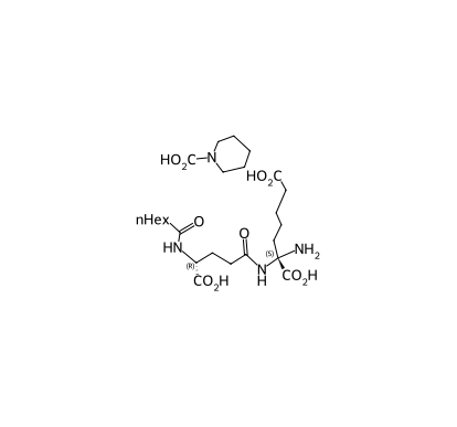 CCCCCCC(=O)N[C@H](CCC(=O)N[C@@](N)(CCCCC(=O)O)C(=O)O)C(=O)O.O=C(O)N1CCCCC1